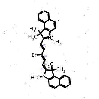 CN1/C(=C/C=C(Br)/C=C/C2=[N+](C)c3ccc4ccccc4c3C2(C)C)C(C)(C)c2c1ccc1ccccc21